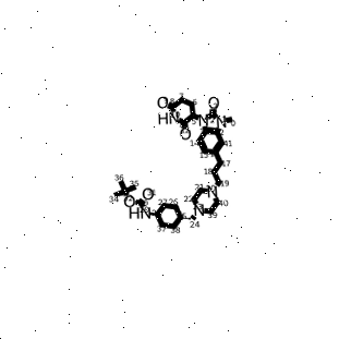 Cn1c(=O)n(C2CCC(=O)NC2=O)c2ccc(CCCN3CCN(C[C@H]4CC[C@H](NC(=O)OC(C)(C)C)CC4)CC3)cc21